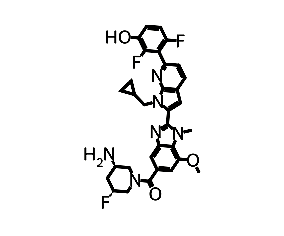 COc1cc(C(=O)N2C[C@H](N)C[C@@H](F)C2)cc2nc(-c3cc4ccc(-c5c(F)ccc(O)c5F)nc4n3CC3CC3)n(C)c12